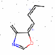 C=c1nco/c1=C/C=C\C